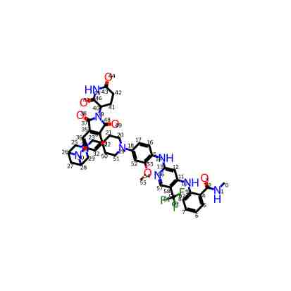 CNC(=O)c1ccccc1Nc1cc(Nc2ccc(N3CCC(CN4CC5CC(C4)N5c4ccc5c(c4)C(=O)N(C4CCC(=O)NC4=O)C5=O)CC3)cc2OC)ncc1C(F)(F)F